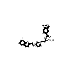 Cn1ncc2cc(C(=O)N[C@H](CCN3CC[C@H](CCc4ccc5c(n4)NCCC5)C3)C(=O)O)ccc21